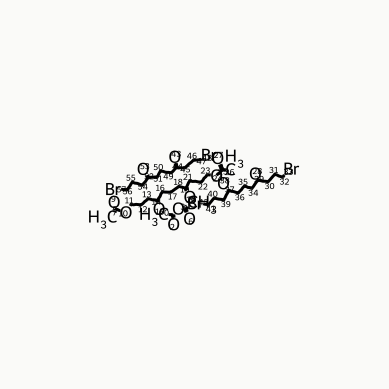 CC(=O)OC(C)=O.CC(=O)OCCCC(=O)CCCC(=O)CCCOC(C)=O.O=C(CCCBr)CCCC(=O)CCCBr.O=C(CCCBr)CCCC(=O)CCCBr